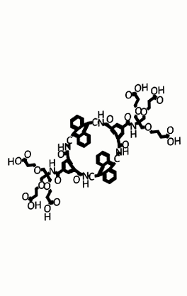 O=C(O)CCCOCC(COCCC(=O)O)(COCCC(=O)O)NC(=O)c1cc2cc(c1)C(=O)NCc1c3ccccc3c(c3ccccc13)CNC(=O)c1cc(cc(C(=O)NC(COCCC(=O)O)(COCCC(=O)O)COCCC(=O)O)c1)C(=O)NCc1c3ccccc3c(c3ccccc13)CNC2=O